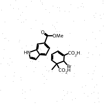 CC1(C(=O)O)C=CC=C(C(=O)O)C1Br.COC(=O)c1ccc2cc[nH]c2c1